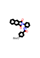 COc1ccc(C(=O)Nc2ccccc2N2C(=O)c3cc4ccccc4cc3C2=O)cc1